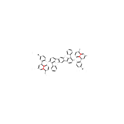 CCc1ccc(N(c2ccc(C(C)(C)C)cc2-c2cccc(C)c2)c2ccc3c4cc5c(cc4n4c6ccccc6c2c34)c2ccc(N(c3ccc(CC)cc3)c3ccc(C(C)(C)C)cc3-c3cccc(C)c3)c3c4ccccc4n5c23)cc1